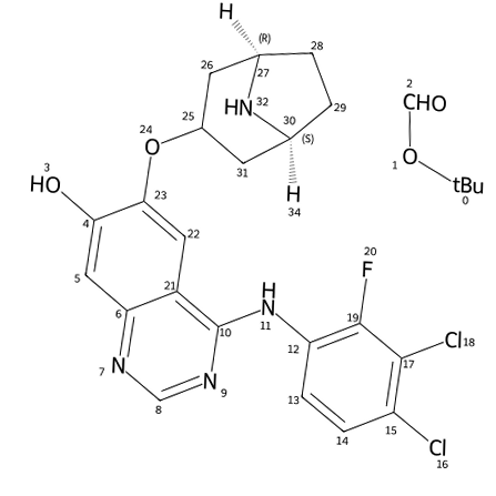 CC(C)(C)OC=O.Oc1cc2ncnc(Nc3ccc(Cl)c(Cl)c3F)c2cc1OC1C[C@H]2CC[C@@H](C1)N2